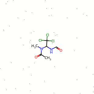 CC(=O)N(C)C(NC=O)C(Cl)(Cl)Cl